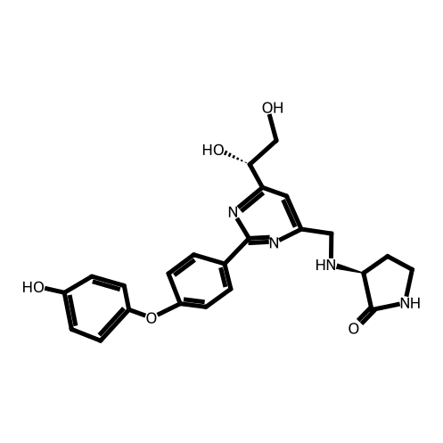 O=C1NCC[C@@H]1NCc1cc([C@H](O)CO)nc(-c2ccc(Oc3ccc(O)cc3)cc2)n1